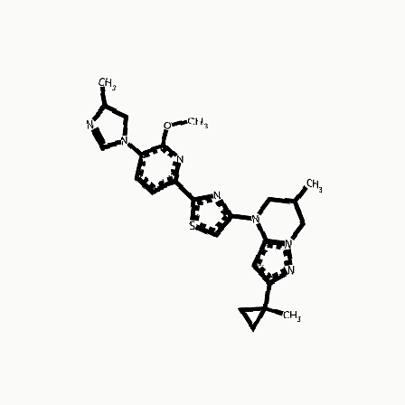 COc1nc(-c2nc(N3CC(C)Cn4nc(C5(C)CC5)cc43)cs2)ccc1N1C=NC(C)C1